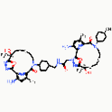 N#C[C@H]1CC[C@H](N2CCCCC[C@](O)(C(F)(F)F)c3n[n+](CC(=O)NCC4CCC(N5CCCCC[C@](O)(C(F)(F)F)c6nnc(o6)-c6nc(c(C(F)(F)F)cc6N)C5=O)CC4)c(o3)-c3nc(c(C(F)(F)F)cc3N)C2=O)CC1